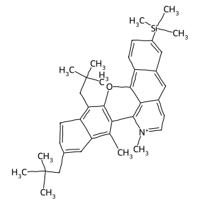 Cc1c2c(c(CC(C)(C)C)c3ccc(CC(C)(C)C)cc13)Oc1c3ccc([Si](C)(C)C)cc3cc3cc[n+](C)c-2c13